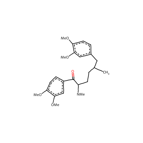 CNC(CCC(C)Cc1ccc(OC)c(OC)c1)C(=O)c1ccc(OC)c(OC)c1